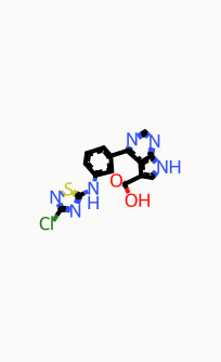 O=C(O)c1c[nH]c2ncnc(-c3cccc(Nc4nc(Cl)ns4)c3)c12